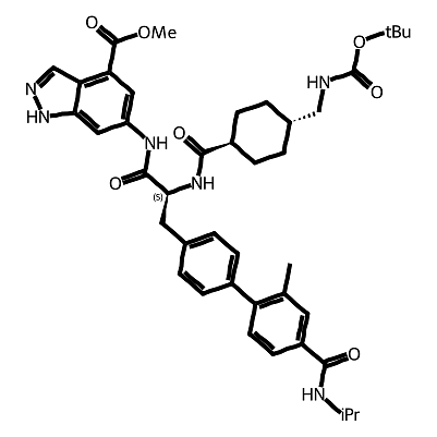 COC(=O)c1cc(NC(=O)[C@H](Cc2ccc(-c3ccc(C(=O)NC(C)C)cc3C)cc2)NC(=O)[C@H]2CC[C@H](CNC(=O)OC(C)(C)C)CC2)cc2[nH]ncc12